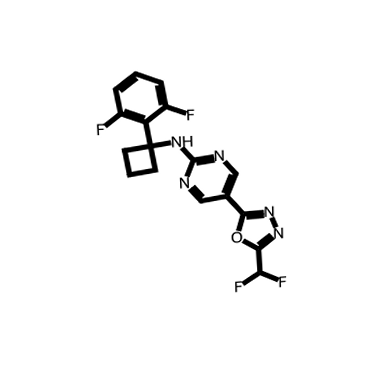 Fc1cccc(F)c1C1(Nc2ncc(-c3nnc(C(F)F)o3)cn2)CCC1